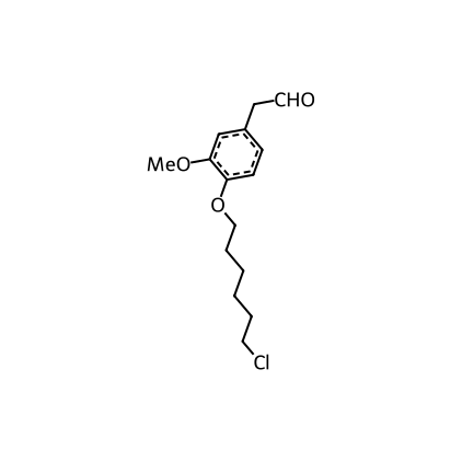 COc1cc(CC=O)ccc1OCCCCCCCl